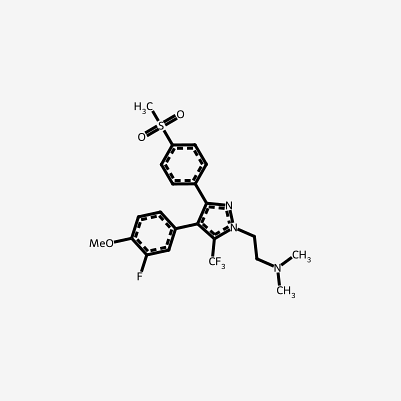 COc1ccc(-c2c(-c3ccc(S(C)(=O)=O)cc3)nn(CCN(C)C)c2C(F)(F)F)cc1F